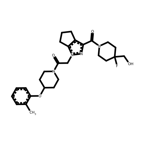 Cc1ccccc1OC1CCN(C(=O)Cn2nc(C(=O)N3CCC(F)(CO)CC3)c3c2CCC3)CC1